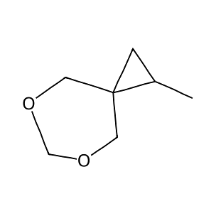 CC1CC12COCOC2